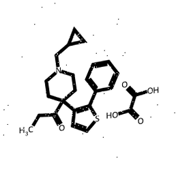 CCC(=O)C1(c2ccsc2-c2ccccc2)CCN(CC2CC2)CC1.O=C(O)C(=O)O